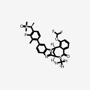 [2H]C([2H])([2H])N1C(=O)c2cccc(OC(F)F)c2[C@H]2C[C@@H]1c1nc3ccc(-c4ccc([C@H](C)P(C)(C)=O)c(F)c4C)cc3n12